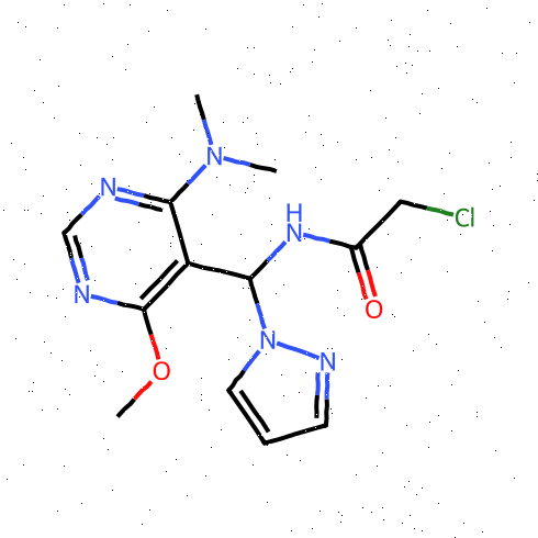 COc1ncnc(N(C)C)c1C(NC(=O)CCl)n1cccn1